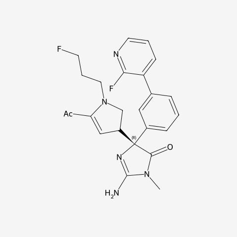 CC(=O)C1=CC([C@]2(c3cccc(-c4cccnc4F)c3)N=C(N)N(C)C2=O)CN1CCCF